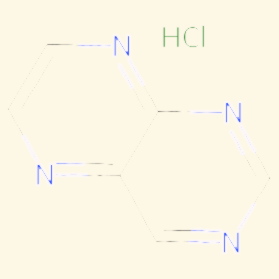 Cl.c1cnc2ncncc2n1